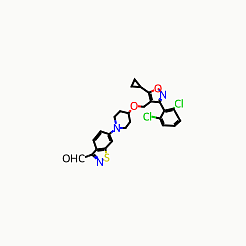 O=Cc1nsc2cc(N3CCC(OCc4c(-c5c(Cl)cccc5Cl)noc4C4CC4)CC3)ccc12